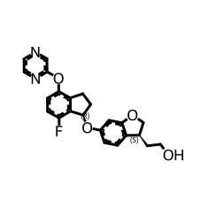 OCC[C@@H]1COc2cc(O[C@@H]3CCc4c(Oc5cnccn5)ccc(F)c43)ccc21